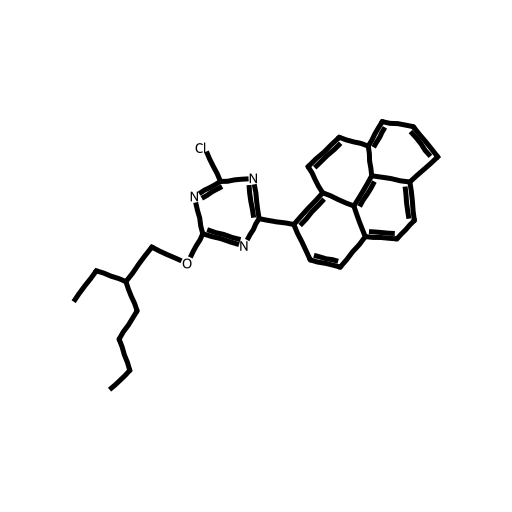 CCCCC(CC)COc1nc(Cl)nc(-c2ccc3ccc4cccc5ccc2c3c45)n1